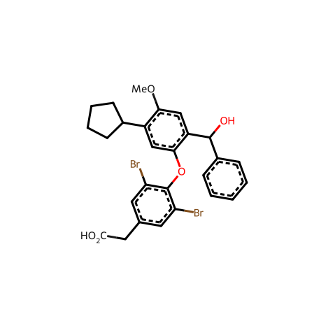 COc1cc(C(O)c2ccccc2)c(Oc2c(Br)cc(CC(=O)O)cc2Br)cc1C1CCCC1